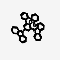 CC1(c2ccccc2-c2cc(-n3c4c(c5ccccc53)CCC=C4)cc(-n3c4ccccc4c4ccccc43)c2)C=CC=CC1C#N